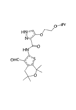 CC(C)OCCOc1c[nH]nc1C(=O)Nc1sc2c(c1C=O)CC(C)(C)OC2(C)C